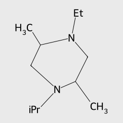 CCN1CC(C)N(C(C)C)CC1C